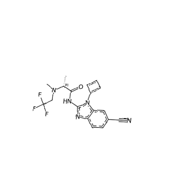 C[C@H](C(=O)Nc1nc2ccc(C#N)cc2n1C1=CC=C1)N(C)CC(F)(F)F